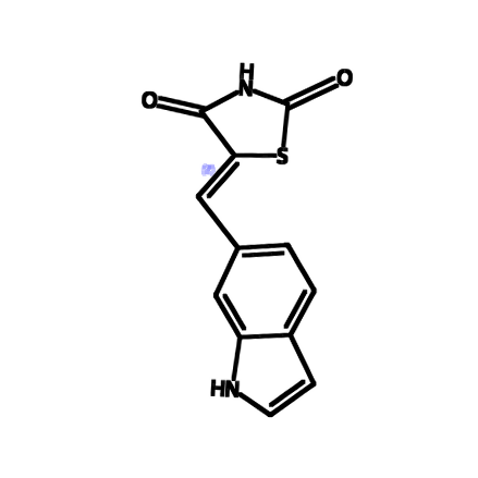 O=C1NC(=O)/C(=C/c2ccc3cc[nH]c3c2)S1